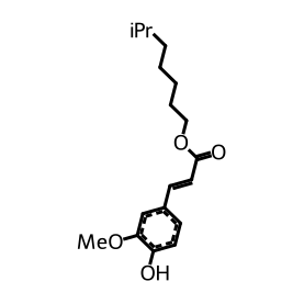 COc1cc(C=CC(=O)OCCCCCC(C)C)ccc1O